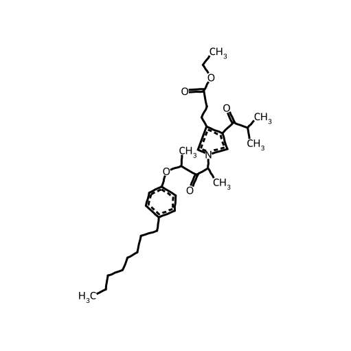 CCCCCCCCc1ccc(OC(C)C(=O)C(C)n2cc(CCC(=O)OCC)c(C(=O)C(C)C)c2)cc1